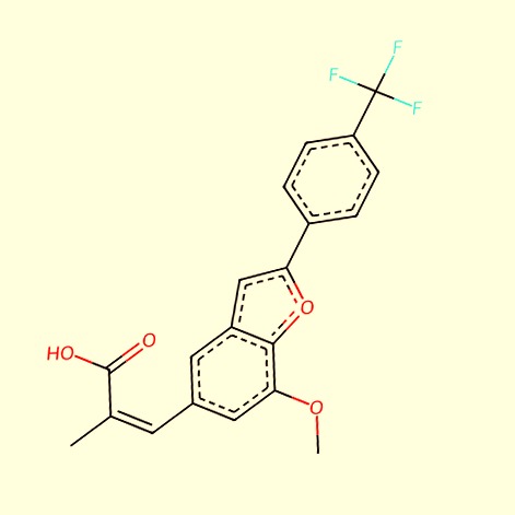 COc1cc(C=C(C)C(=O)O)cc2cc(-c3ccc(C(F)(F)F)cc3)oc12